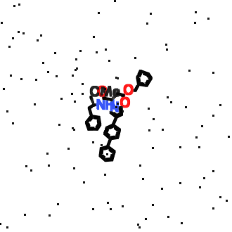 COC[C@H](Cc1ccccc1)NC(=O)[C@@H](CC(=O)OCc1ccccc1)n1ccc(-c2ccc(-c3ccccc3)cc2)c1